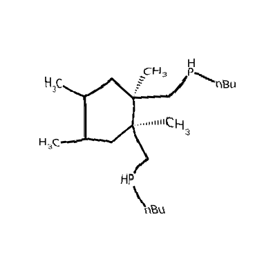 CCCCPC[C@@]1(C)CC(C)C(C)C[C@@]1(C)CPCCCC